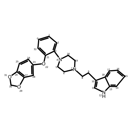 c1ccc(N2CCN(CCc3c[nH]c4ccccc34)CC2)c(Oc2ccc3c(c2)OCO3)c1